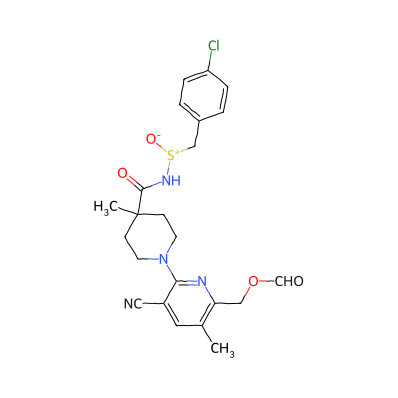 Cc1cc(C#N)c(N2CCC(C)(C(=O)N[S+]([O-])Cc3ccc(Cl)cc3)CC2)nc1COC=O